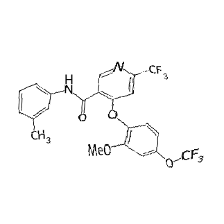 COc1cc(OC(F)(F)F)ccc1Oc1cc(C(F)(F)F)ncc1C(=O)Nc1cccc(C)c1